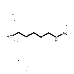 CC(=O)NCCCCCO